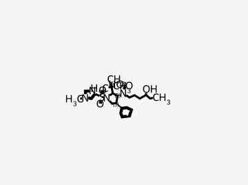 CCC(O)CCCN(C(=O)O)[C@H]1C(C(C)(C)C)N(S(=O)(=O)c2cn(C)cn2)C[C@@H]1c1ccccc1